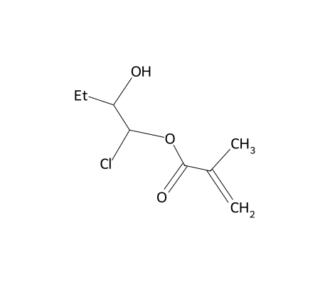 C=C(C)C(=O)OC(Cl)C(O)CC